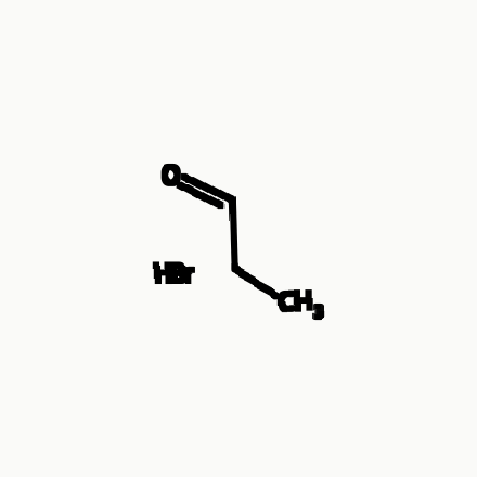 Br.CCC=O